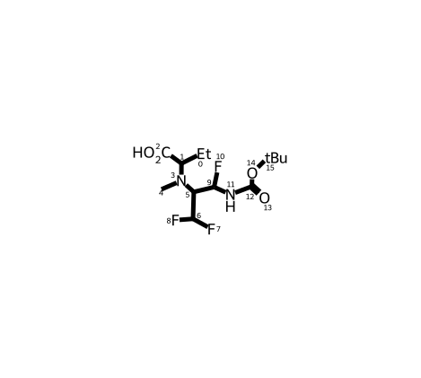 CCC(C(=O)O)N(C)C(C(F)F)C(F)NC(=O)OC(C)(C)C